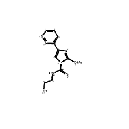 COc1nc(-c2cccnn2)cn1C(=O)NCCC(C)C